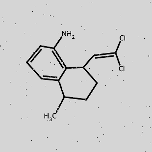 CC1CCC(C=C(Cl)Cl)c2c(N)cccc21